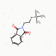 C[Si](C)(C)CCCN1C(=O)c2ccccc2C1=O